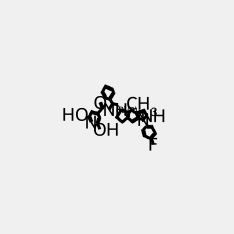 C[C@H]1C2=CNN(c3ccc(F)cc3)C2=CC2=C1[C@@H](CC(NC(=O)c1cc(O)nc(O)c1)c1ccccc1)CC2